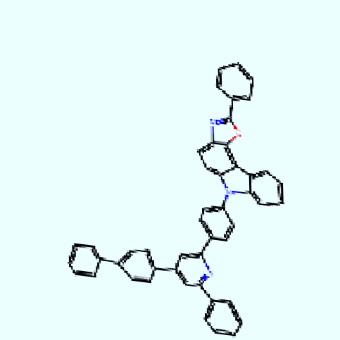 c1ccc(-c2ccc(-c3cc(-c4ccccc4)nc(-c4ccc(-n5c6ccccc6c6c7oc(-c8ccccc8)nc7ccc65)cc4)c3)cc2)cc1